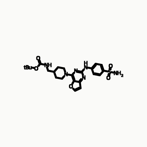 CC(C)(C)OC(=O)NCC1CCN(c2nc(Nc3ccc(S(N)(=O)=O)cc3)nc3ccoc23)CC1